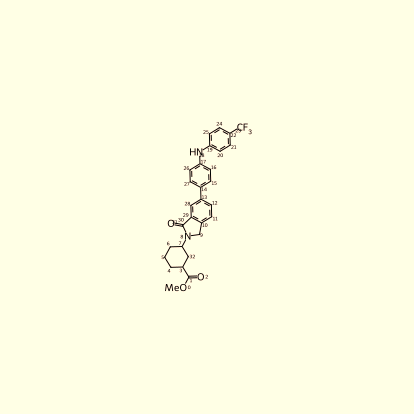 COC(=O)C1CCCC(N2Cc3ccc(-c4ccc(Nc5ccc(C(F)(F)F)cc5)cc4)cc3C2=O)C1